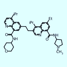 CCc1cc(C(=O)NC2CCN(C)C2)c2ncc(CCc3cc(C(=O)NC4CCOCC4)c4nccc(C(C)C)c4c3)c(C(C)C)c2c1